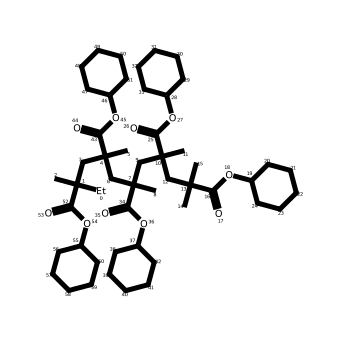 CCC(C)(CC(C)(CC(C)(CC(C)(CC(C)(C)C(=O)OC1CCCCC1)C(=O)OC1CCCCC1)C(=O)OC1CCCCC1)C(=O)OC1CCCCC1)C(=O)OC1CCCCC1